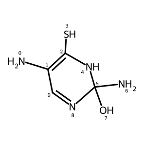 NC1=C(S)NC(N)(O)N=C1